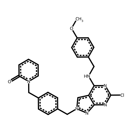 COc1ccc(CNc2nc(Cl)nc3nn(Cc4ccc(Cn5ccccc5=O)cc4)cc23)cc1